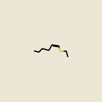 CCCC/C=[C]\SCC